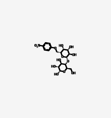 O=[N+]([O-])c1ccc(OC[C@H]2O[C@@H](O[C@H]3[C@H](O)[C@@H](O)[C@@H](O)O[C@@H]3CO)[C@H](O)[C@@H](O)[C@H]2O)cc1